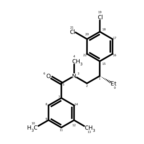 [CH2]C[C@H](CN(C)C(=O)c1cc(C)cc(C)c1)c1ccc(Cl)c(Cl)c1